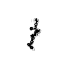 CS(=O)(=O)NC(=O)C1CCN(CCC(CSc2ccccc2)Nc2ccc(S(=O)(=O)Nc3ncnc4cc(N5CCN(Cc6ccccc6-c6ccc(Cl)cc6)CC5)ccc34)cc2[N+](=O)[O-])CC1